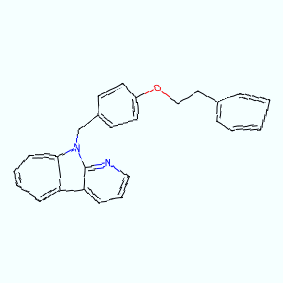 c1ccc(CCOc2ccc(Cn3c4ccccc4c4cccnc43)cc2)cc1